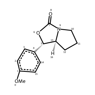 COc1ccc([C@@H]2OC(=O)N3CCC[C@@H]23)cc1